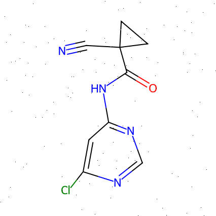 N#CC1(C(=O)Nc2cc(Cl)ncn2)CC1